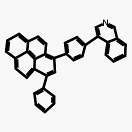 c1ccc(-c2cc(-c3ccc(-c4cncc5ccccc45)cc3)c3ccc4cccc5ccc2c3c54)cc1